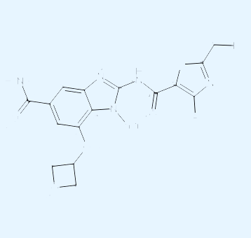 CCCn1c(NC(=O)c2sc(CF)nc2CC)nc2cc(C(N)=O)cc(OC3COC3)c21